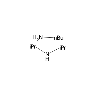 CC(C)NC(C)C.CCCCN